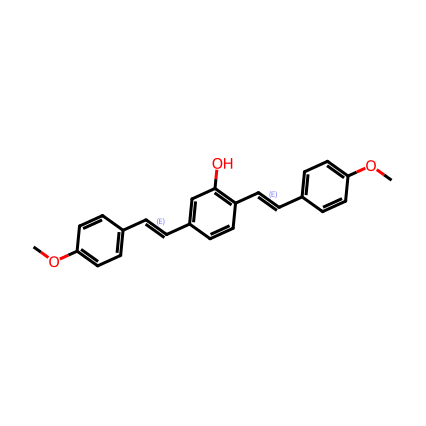 COc1ccc(/C=C/c2ccc(/C=C/c3ccc(OC)cc3)c(O)c2)cc1